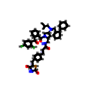 CC(C)CN(Cc1ccccc1-c1ccccc1)[C@@H]1CC(CNC(=O)/C=C/c2ccc(/C=C3\SC(=O)NC3=O)cc2)N(C(=O)c2ccccc2C(=O)c2ccc(F)cc2F)C1